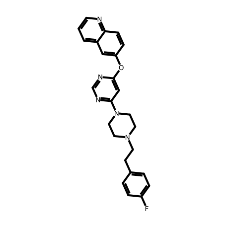 Fc1ccc(CCN2CCN(c3cc(Oc4ccc5ncccc5c4)ncn3)CC2)cc1